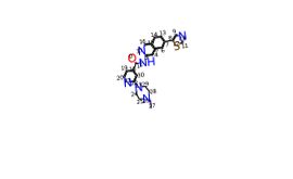 O=C(Nc1cc2cc(-c3cncs3)ccc2cn1)c1ccnc(N2CCN(I)CC2)c1